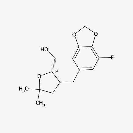 CC1(C)CC(Cc2cc(F)c3c(c2)OCO3)[C@@H](CO)O1